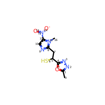 Cc1nnc(C(S)Cc2ncc([N+](=O)[O-])n2C)o1